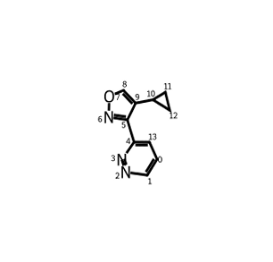 c1cnnc(-c2nocc2C2CC2)c1